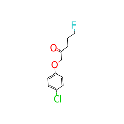 O=C(CCCF)COc1ccc(Cl)cc1